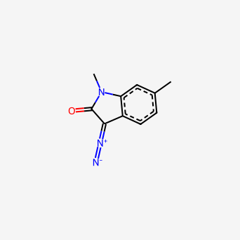 Cc1ccc2c(c1)N(C)C(=O)C2=[N+]=[N-]